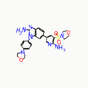 Nc1ncc(-c2ccc3nc(N)n(-c4ccc(N5CCOCC5)cc4)c3c2)cc1S(=O)(=O)N1CCOCC1